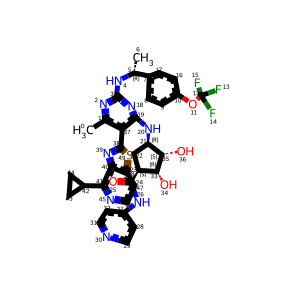 Cc1nc(N[C@H](C)c2ccc(OC(F)(F)F)cc2)nc(N[C@@H]2C[C@H](C(=O)Nc3ccncc3)[C@@H](O)[C@H]2O)c1-c1nc2c(C3CC3)nccc2s1